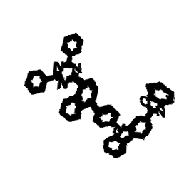 c1ccc(-c2nc(-c3ccccc3)nc(-c3ccc(-c4ccc(-n5c6ccccc6c6ccc(-c7nc8ccccc8o7)cc65)cc4)c4ccccc34)n2)cc1